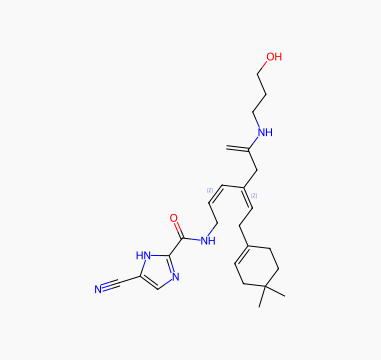 C=C(CC(/C=C\CNC(=O)c1ncc(C#N)[nH]1)=C/CC1=CCC(C)(C)CC1)NCCCO